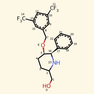 OCC1CC[C@@H](OCc2cc(C(F)(F)F)cc(C(F)(F)F)c2)[C@@H](c2ccccc2)N1